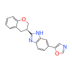 c1ccc2c(c1)C[C@H](c1nc3ccc(-c4cnco4)cc3[nH]1)CO2